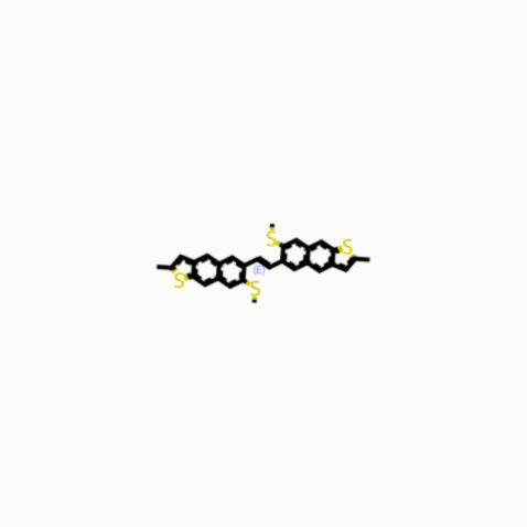 CSc1cc2cc3sc(C)cc3cc2cc1/C=C/c1cc2cc3cc(C)sc3cc2cc1SC